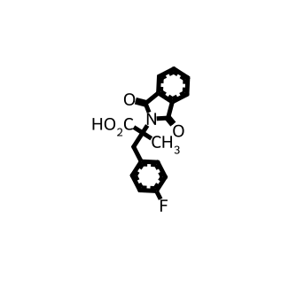 CC(Cc1ccc(F)cc1)(C(=O)O)N1C(=O)c2ccccc2C1=O